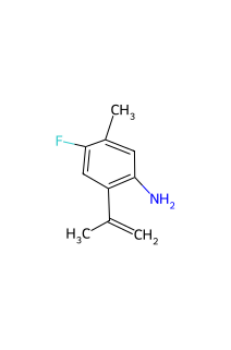 C=C(C)c1cc(F)c(C)cc1N